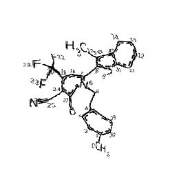 Cc1ccc(Cn2c(-c3sc4ccccc4c3C)cc(C(F)(F)F)c(C#N)c2=O)cc1